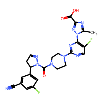 Cc1nc(C(=O)O)nn1-c1nc(N2CCN(C(=O)N3N=CCC3c3cc(F)cc(C#N)c3)CC2)ncc1F